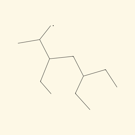 [CH2]C(C)C(CC)CC(CC)CC